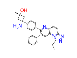 CCc1nnc2ccc3nc(-c4ccc([C@]5(N)C[C@@](C)(O)C5)cc4)c(-c4ccccc4)cc3n12